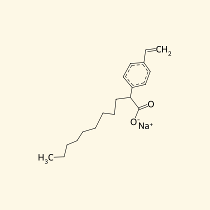 C=Cc1ccc(C(CCCCCCCCC)C(=O)[O-])cc1.[Na+]